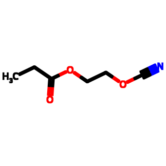 CCC(=O)OCCOC#N